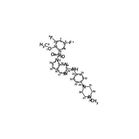 COc1c(F)cc(F)cc1S(=O)(=O)n1ccc2cnc(Nc3ccc(N4CCN(C)CC4)cc3)nc21